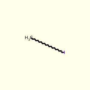 CCCCCCCCCCCCCCCCCC/C=C/I